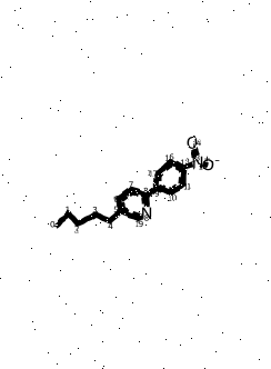 CCCCCc1ccc(-c2ccc([N+](=O)[O-])cc2)nc1